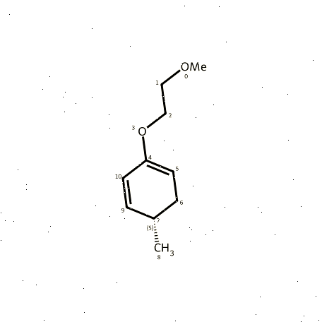 COCCOC1=CC[C@H](C)C=C1